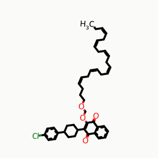 CC/C=C\C/C=C\C/C=C\C/C=C\C/C=C\C/C=C\CCCOCOC1=C(C2CCC(c3ccc(Cl)cc3)CC2)C(=O)c2ccccc2C1=O